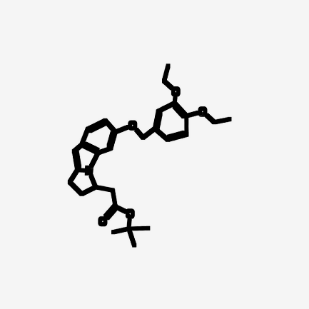 CCOc1ccc(COc2ccc3cc4n(c3c2)C(CC(=O)OC(C)(C)C)CC4)cc1OCC